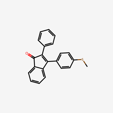 CSc1ccc(C2=C(c3ccccc3)C(=O)c3ccccc32)cc1